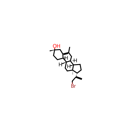 C=C(CBr)[C@H]1CC[C@H]2[C@@H]3CC(C)=C4C[C@@](C)(O)CC[C@@H]4[C@H]3CC[C@]12C